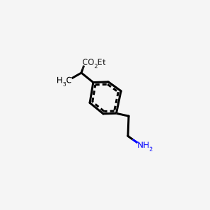 CCOC(=O)C(C)c1ccc(CCN)cc1